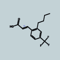 CCCCc1cc(C(F)(F)F)ccc1/C=C/C(=O)O